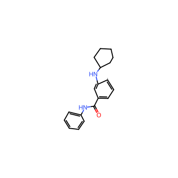 O=C(Nc1ccccc1)c1cc[c]c(NC2CCCCC2)c1